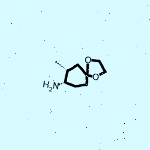 C[C@@H]1CC2(CC[C@@H]1N)OCCO2